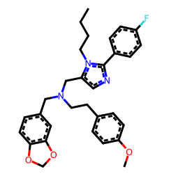 CCCCn1c(CN(CCc2ccc(OC)cc2)Cc2ccc3c(c2)OCO3)cnc1-c1ccc(F)cc1